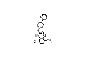 Cc1ccc(Cl)c(NC(=O)CN2CCC(c3ccccn3)CC2)c1Cl